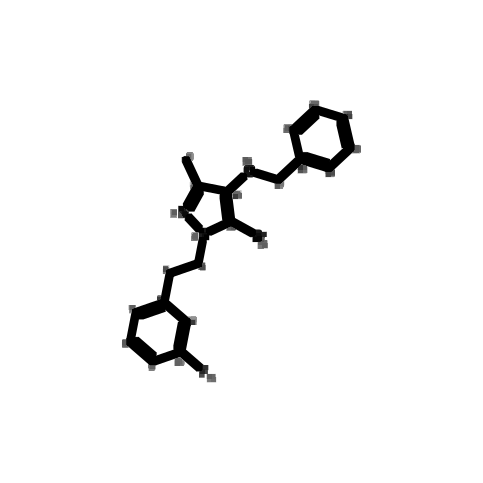 Cc1nn(CCc2cccc(F)c2)c(Br)c1OCc1ccccc1